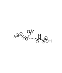 CC(C)(C)OCC(=O)C(C)(C)C(C)(C)OC(CCCCC(=O)NCCS(=O)(=O)O)CCC(=O)C(C)(C)C